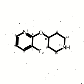 Fc1cccnc1OC1CCNCC1